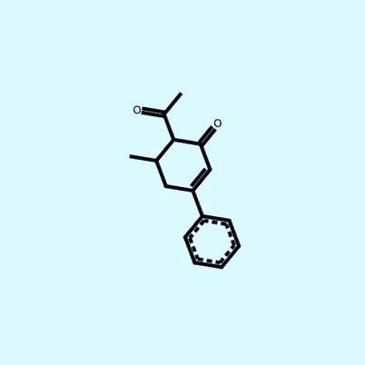 CC(=O)C1C(=O)C=C(c2ccccc2)CC1C